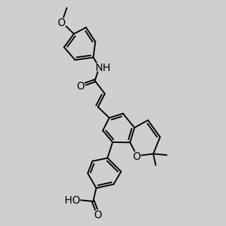 COc1ccc(NC(=O)C=Cc2cc3c(c(-c4ccc(C(=O)O)cc4)c2)OC(C)(C)C=C3)cc1